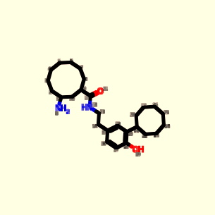 NC1CCCCCCCC(C(=O)NCCc2ccc(O)c(C3CCCCCCC3)c2)C1